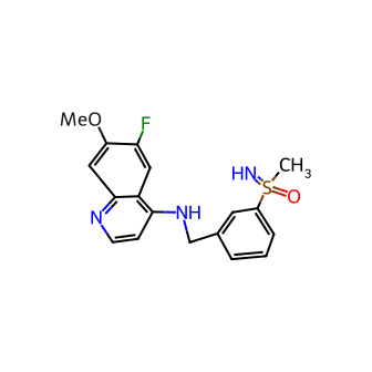 COc1cc2nccc(NCc3cccc(S(C)(=N)=O)c3)c2cc1F